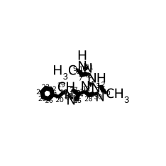 Cc1cn2c(Nc3cc(C)[nH]n3)nc(-c3cnn(C(C)Cc4ccccc4)c3)cc2n1